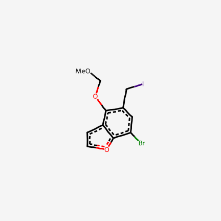 COCOc1c(CI)cc(Br)c2occc12